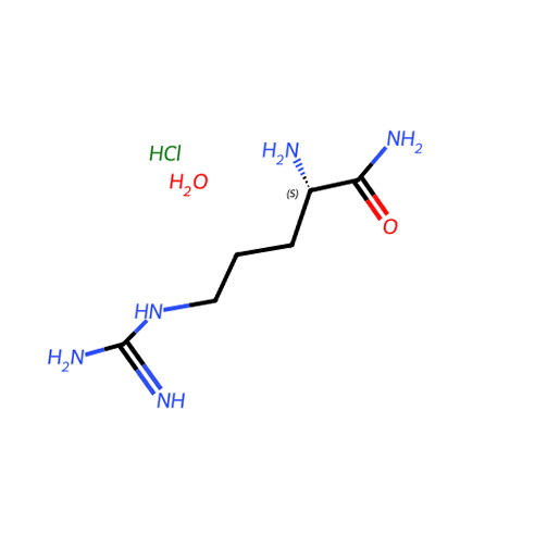 Cl.N=C(N)NCCC[C@H](N)C(N)=O.O